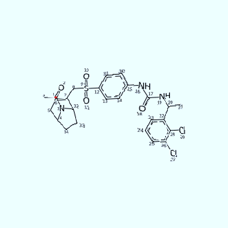 CC(=O)N1C2CC=C(CS(=O)(=O)c3ccc(NC(=O)NC(C)c4cccc(Cl)c4Cl)cc3)C1CC2